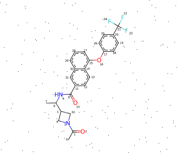 CC(=O)N1CC(C(C)NC(=O)c2ccc3c(Oc4ccc(C(F)(F)F)cc4)cccc3c2)C1